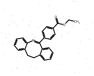 CCOC(=O)c1ccc(/C2=N/c3ccccc3CCc3ccccc32)cc1